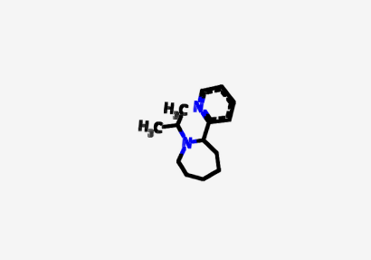 CC(C)N1CCCCCC1c1ccccn1